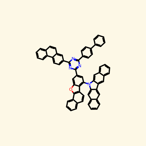 c1ccc(-c2ccc(-c3nc(-c4ccc5c(ccc6ccccc65)c4)nc(-c4cc(-n5c6cc7ccccc7cc6c6cc7ccccc7cc65)c5c(c4)oc4c6ccccc6ccc45)n3)cc2)cc1